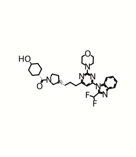 O=C([C@H]1CC[C@H](O)CC1)N1CC[C@H](CCCc2cc(-n3c(C(F)F)nc4ccccc43)nc(N3CCOCC3)n2)C1